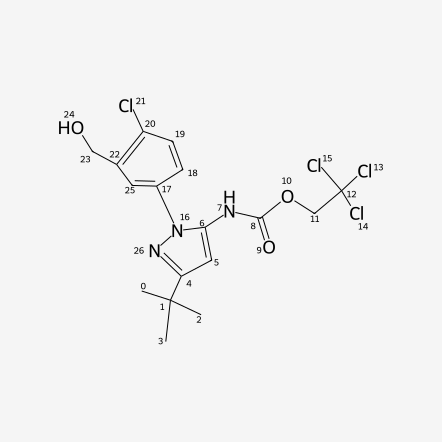 CC(C)(C)c1cc(NC(=O)OCC(Cl)(Cl)Cl)n(-c2ccc(Cl)c(CO)c2)n1